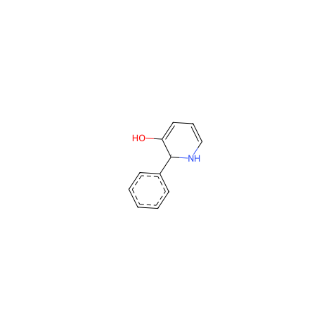 OC1=CC=CN[C]1c1ccccc1